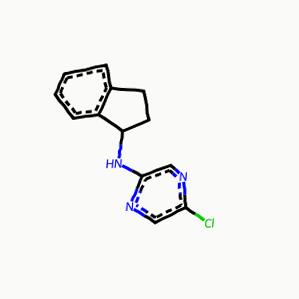 Clc1cnc(NC2CCc3ccccc32)cn1